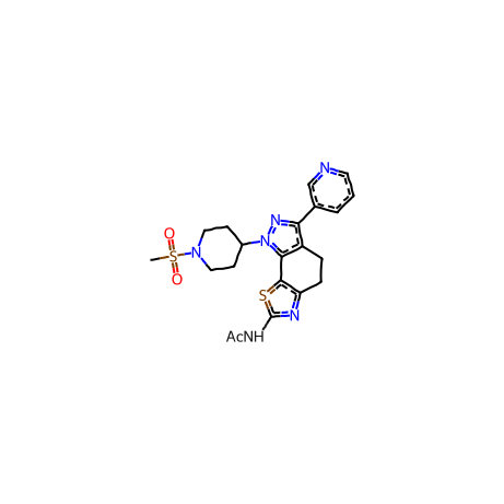 CC(=O)Nc1nc2c(s1)-c1c(c(-c3cccnc3)nn1C1CCN(S(C)(=O)=O)CC1)CC2